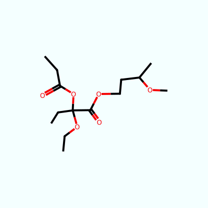 CCOC(CC)(OC(=O)CC)C(=O)OCCC(C)OC